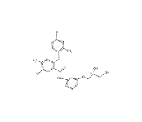 Cc1cc(F)ccc1Oc1cc(C(F)(F)F)c(Cl)cc1C(=O)Nc1cnnc(OC[C@H](O)CO)c1